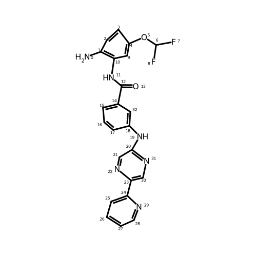 Nc1ccc(OC(F)F)cc1NC(=O)c1cccc(Nc2cnc(-c3ccccn3)cn2)c1